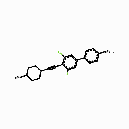 CCCCCc1ccc(-c2cc(F)c(C#CC3CCC(CCC)CC3)c(F)c2)cc1